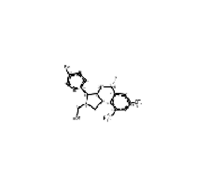 C[C@@H](OC1CCC(CBr)C1c1ccc(F)cc1)c1cc(C(F)(F)F)cc(C(F)(F)F)c1